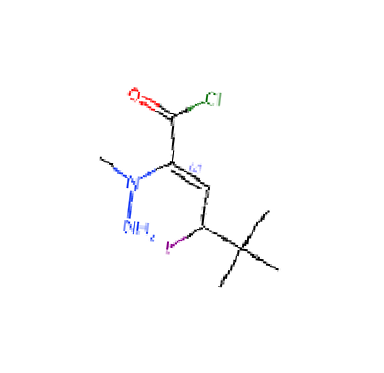 CN(N)/C(=C\C(I)C(C)(C)C)C(=O)Cl